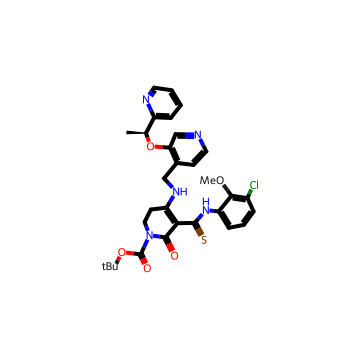 COc1c(Cl)cccc1NC(=S)C1=C(NCc2ccncc2O[C@@H](C)c2ccccn2)CCN(C(=O)OC(C)(C)C)C1=O